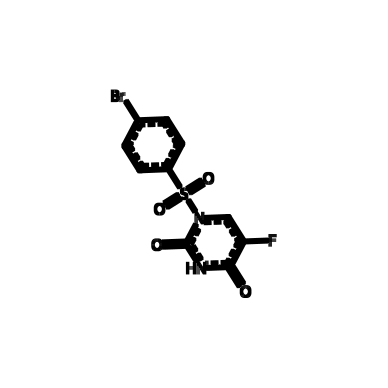 O=c1[nH]c(=O)n(S(=O)(=O)c2ccc(Br)cc2)cc1F